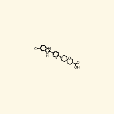 O=C(O)C1CCC2(CCN(c3ccc(-c4nc5ccc(Cl)cc5[nH]4)cn3)CC2)OC1